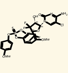 COc1ccc(OP(=S)(OC[C@@]2(C(F)F)O[C@@H](n3cc(Cl)c(N)nc3=O)[C@@H](O)C2(F)F)Oc2ccc(OC)cc2)cc1